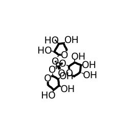 O=P(O[C@H]1OC[C@@H](O)[C@H](O)[C@H]1O)(O[C@H]1OC[C@@H](O)[C@H](O)[C@H]1O)O[C@H]1OC[C@@H](O)[C@H](O)[C@H]1O